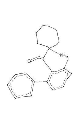 Cc1cccc(-c2ccccc2)c1C(=O)C1(P)CCCCC1